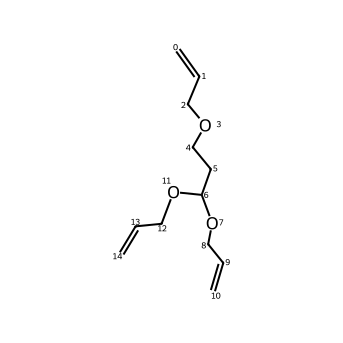 C=CCOCCC(OCC=C)OCC=C